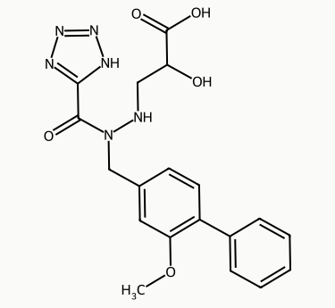 COc1cc(CN(NCC(O)C(=O)O)C(=O)c2nnn[nH]2)ccc1-c1ccccc1